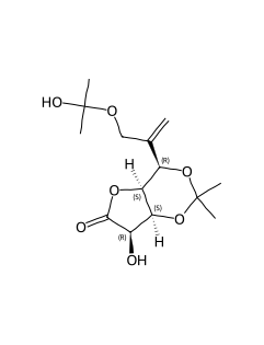 C=C(COC(C)(C)O)[C@H]1OC(C)(C)O[C@@H]2[C@H]1OC(=O)[C@@H]2O